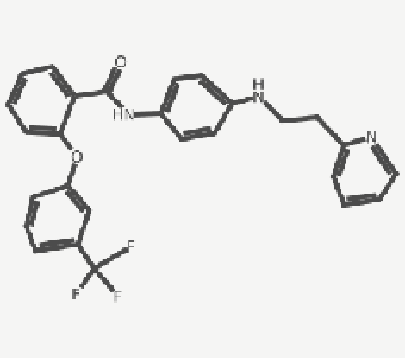 O=C(Nc1ccc(NCCc2ccccn2)cc1)c1ccccc1Oc1cccc(C(F)(F)F)c1